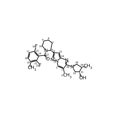 Cc1cn2nc([C@@H]3CCCCN3C(=O)c3c(F)ccc(C)c3F)cc2nc1N1C[C@@H](C)[C@@H](O)C1